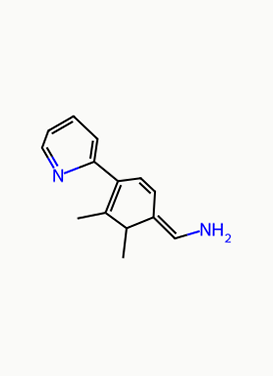 CC1=C(c2ccccn2)C=CC(=CN)C1C